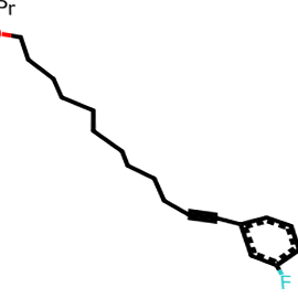 CCCOCCCCCCCCCCC#Cc1cccc(F)c1